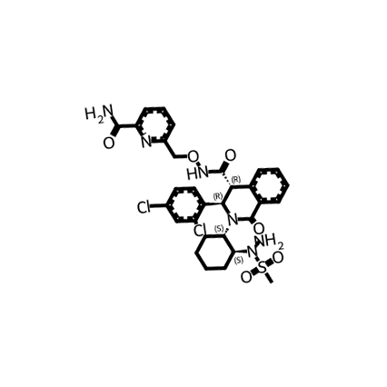 CS(=O)(=O)N(N)[C@H]1CCCC[C@@H]1N1C(=O)c2ccccc2[C@@H](C(=O)NOCc2cccc(C(N)=O)n2)[C@@H]1c1ccc(Cl)cc1Cl